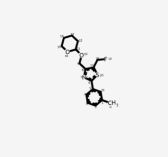 Cc1cccc(-c2nc(COC3CCCCO3)c(CF)s2)c1